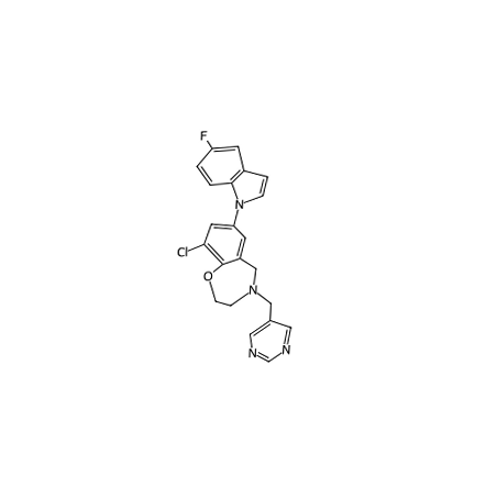 Fc1ccc2c(ccn2-c2cc(Cl)c3c(c2)CN(Cc2cncnc2)CCO3)c1